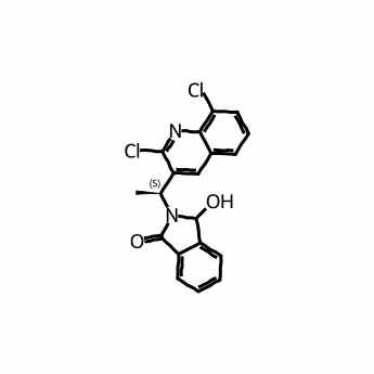 C[C@@H](c1cc2cccc(Cl)c2nc1Cl)N1C(=O)c2ccccc2C1O